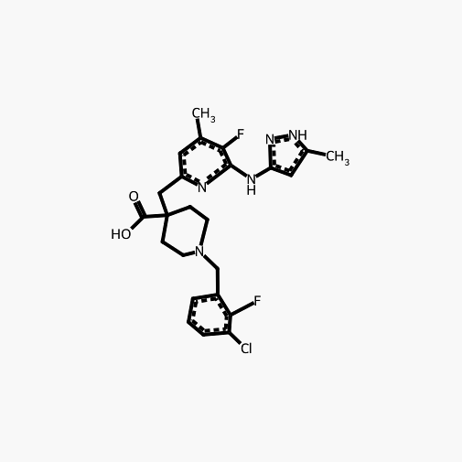 Cc1cc(Nc2nc(CC3(C(=O)O)CCN(Cc4cccc(Cl)c4F)CC3)cc(C)c2F)n[nH]1